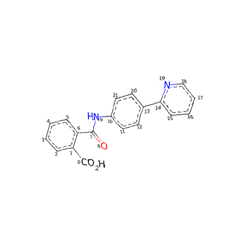 O=C(O)c1ccccc1C(=O)Nc1ccc(-c2ccccn2)cc1